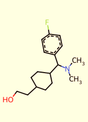 CN(C)C(c1ccc(F)cc1)C1CCC(CCO)CC1